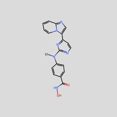 CCN(c1ccc(C(=O)NO)cc1)c1nccc(-c2cnc3ccccn23)n1